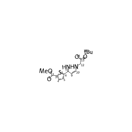 COC(=O)c1ccc(C(=N)/C=C\NCC(=O)OC(C)(C)C)s1